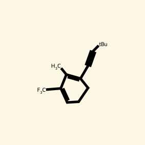 CC1=C(C#CC(C)(C)C)[CH]CC=C1C(F)(F)F